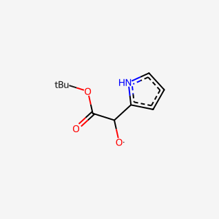 CC(C)(C)OC(=O)C([O])c1ccc[nH]1